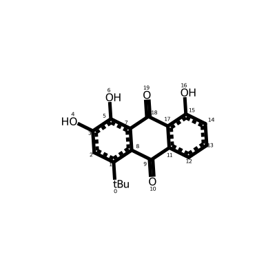 CC(C)(C)c1cc(O)c(O)c2c1C(=O)c1cccc(O)c1C2=O